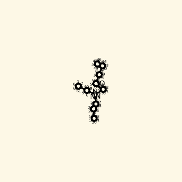 c1ccc(-c2ccc(-c3nc(-c4ccc5cc(-c6ccccc6)ccc5c4)nc(-c4cccc5oc6c(-c7ccc(-c8cccc9ccccc89)cc7)cccc6c45)n3)cc2)cc1